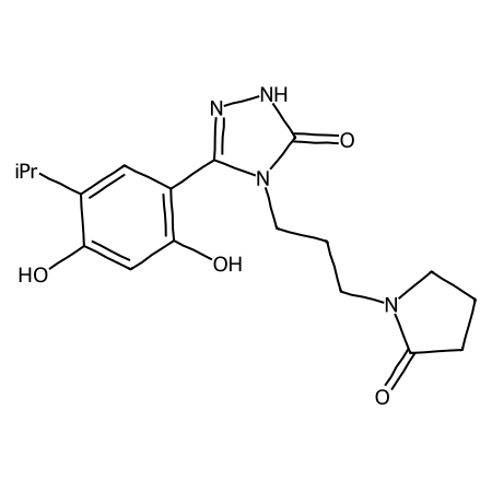 CC(C)c1cc(-c2n[nH]c(=O)n2CCCN2CCCC2=O)c(O)cc1O